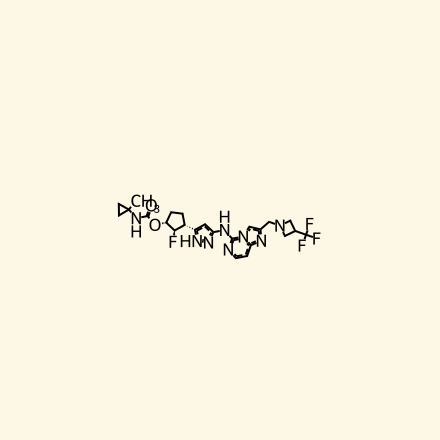 CC1(NC(=O)O[C@@H]2CC[C@H](c3cc(Nc4nccc5nc(CN6CC(C(F)(F)F)C6)cn45)n[nH]3)[C@H]2F)CC1